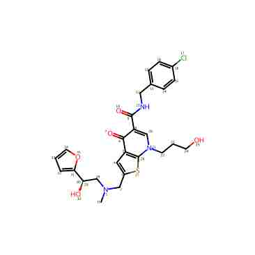 CN(Cc1cc2c(=O)c(C(=O)NCc3ccc(Cl)cc3)cn(CCCO)c2s1)C[C@@H](O)c1ccco1